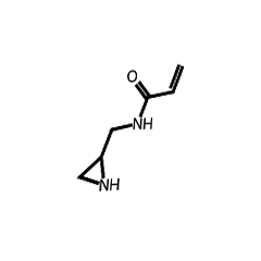 C=CC(=O)NCC1CN1